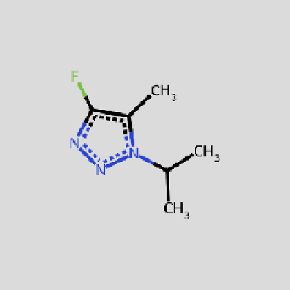 Cc1c(F)nnn1C(C)C